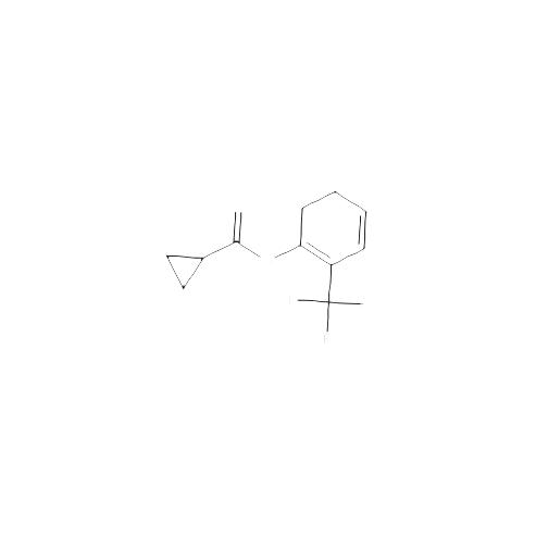 O=C(OC1=C(C(F)(F)F)C=CC[CH]1)C1CC1